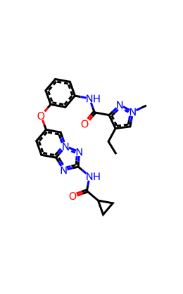 CCc1cn(C)nc1C(=O)Nc1cccc(Oc2ccc3nc(NC(=O)C4CC4)nn3c2)c1